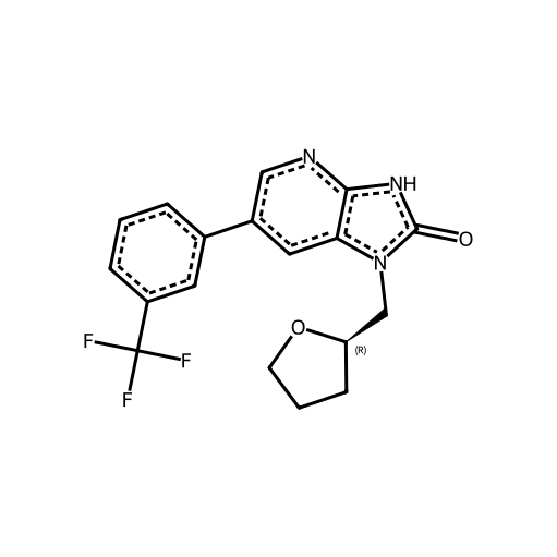 O=c1[nH]c2ncc(-c3cccc(C(F)(F)F)c3)cc2n1C[C@H]1CCCO1